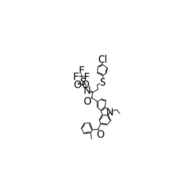 CCn1c2ccc(C(=O)/C(CCSc3ccc(Cl)cc3)=N/OS(=O)C(F)(F)F)cc2c2cc(C(=O)c3ccccc3C)ccc21